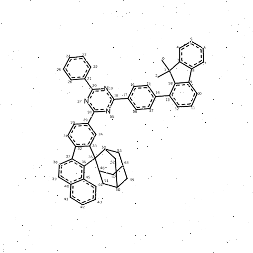 CC1(C)c2ccccc2-c2cccc(-c3ccc(-c4nc(-c5ccccc5)nc(-c5ccc6c(c5)C5(c7c-6ccc6ccccc76)C6CC7CC(C6)CC5C7)n4)cc3)c21